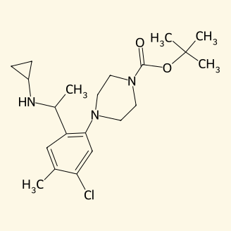 Cc1cc(C(C)NC2CC2)c(N2CCN(C(=O)OC(C)(C)C)CC2)cc1Cl